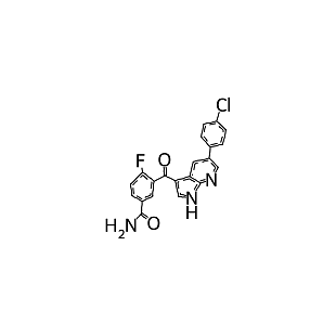 NC(=O)c1ccc(F)c(C(=O)c2c[nH]c3ncc(-c4ccc(Cl)cc4)cc23)c1